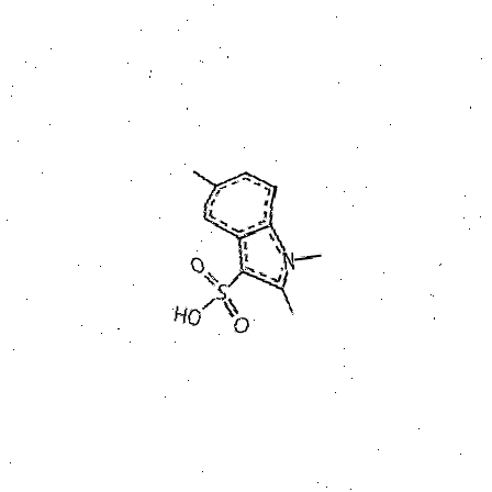 Cc1ccc2c(c1)c(S(=O)(=O)O)c(C)n2C